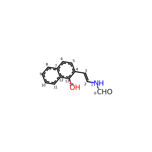 O=CNC=Cc1ccc2ccccc2c1O